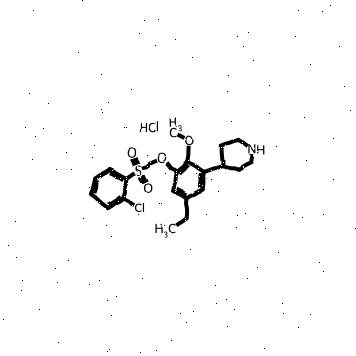 CCc1cc(OS(=O)(=O)c2ccccc2Cl)c(OC)c(C2CCNCC2)c1.Cl